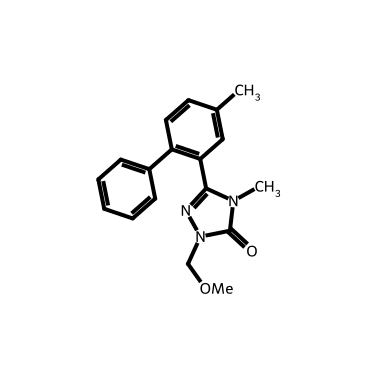 COCn1nc(-c2cc(C)ccc2-c2ccccc2)n(C)c1=O